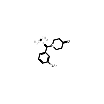 C=C.CC(=O)Oc1cccc(C(=O)N2CCC(=O)CC2)c1